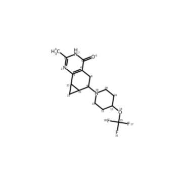 Cc1nc2c(c(=O)[nH]1)CC(N1CCC(OC(F)(F)F)CC1)C1CC21